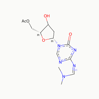 CC(=O)OC[C@H]1O[C@@H](n2cnc(/N=C\N(C)C)nc2=O)CC1O